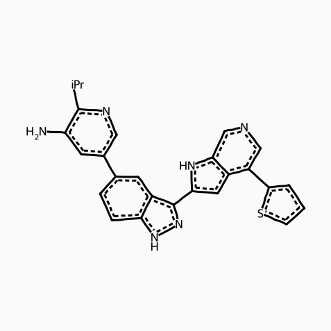 CC(C)c1ncc(-c2ccc3[nH]nc(-c4cc5c(-c6cccs6)cncc5[nH]4)c3c2)cc1N